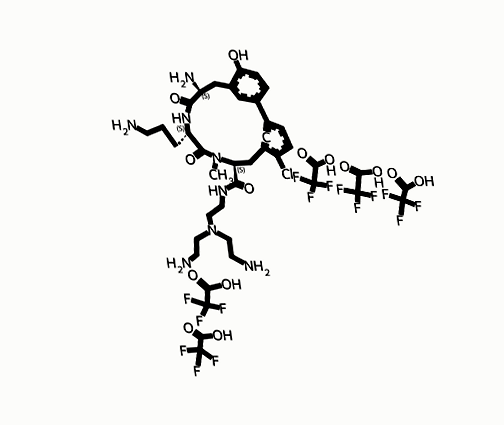 CN1C(=O)[C@H](CCCN)NC(=O)[C@@H](N)Cc2cc(ccc2O)-c2ccc(Cl)c(c2)C[C@H]1C(=O)NCCN(CCN)CCN.O=C(O)C(F)(F)F.O=C(O)C(F)(F)F.O=C(O)C(F)(F)F.O=C(O)C(F)(F)F.O=C(O)C(F)(F)F